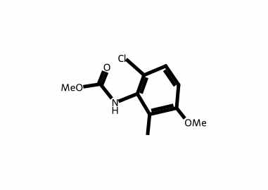 COC(=O)Nc1c(Cl)ccc(OC)c1C